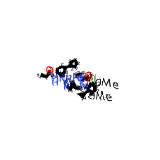 C=CC(=O)N[C@H]1CCC(C2CCCC2)C[C@H]1Nc1ncc2c(n1)N(C)C(=O)N(c1c(Cl)c(OC)cc(OC)c1C1CC1)C2